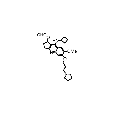 COc1cc2c(NC3CCC3)c3c(nc2cc1OCCCN1CCCC1)CCC3OC=O